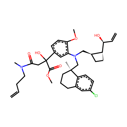 C=CCCN(C)C(=O)CC(O)(C(=O)OC)c1ccc(OC)c(N(C[C@@H]2CC[C@H]2[C@@H](O)C=C)C[C@]2(C)CCCc3cc(Cl)ccc32)c1